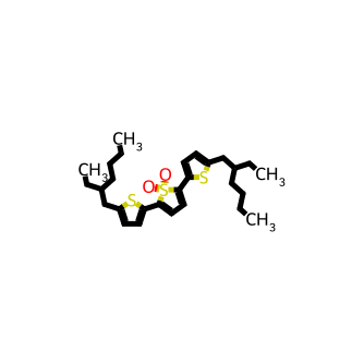 CCCCC(CC)Cc1ccc(C2=CC=C(c3ccc(CC(CC)CCCC)s3)S2(=O)=O)s1